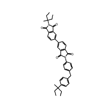 CCC(C)(CC)c1ccc(Cc2ccc(N3C(=O)c4ccc(-c5ccc6c(c5)C(=O)N(C(C)(CC)CC)C6=O)cc4C3=O)cc2)cc1